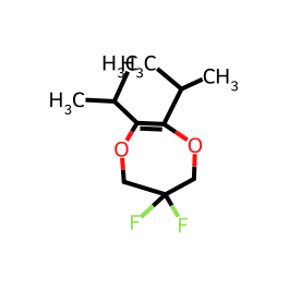 CC(C)C1=C(C(C)C)OCC(F)(F)CO1